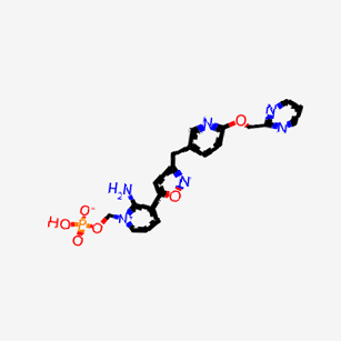 Nc1c(-c2cc(Cc3ccc(OCc4ncccn4)nc3)no2)ccc[n+]1COP(=O)([O-])O